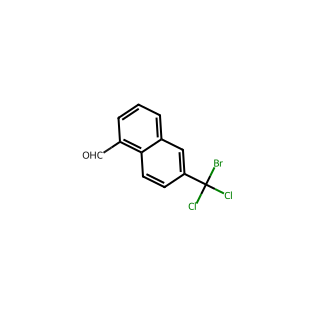 O=Cc1cccc2cc(C(Cl)(Cl)Br)ccc12